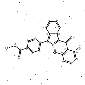 COC(=O)c1ccc(-c2nc(C(=O)c3c(Cl)cccc3Cl)n3cccnc23)cc1